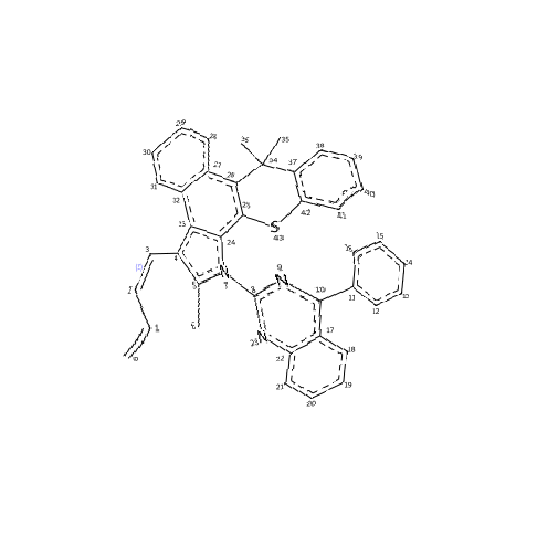 C=C/C=C\c1c(C)n(-c2nc(-c3ccccc3)c3ccccc3n2)c2c3c(c4ccccc4c12)C(C)(C)c1ccccc1S3